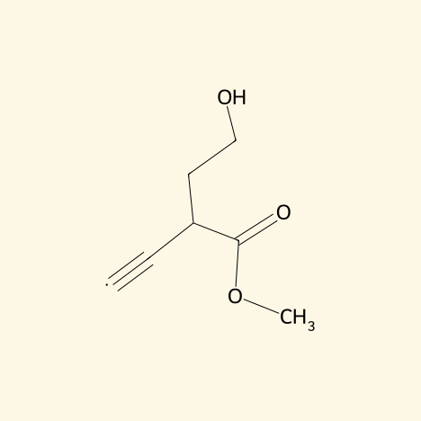 [C]#CC(CCO)C(=O)OC